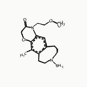 BN1CCc2cc3c(c(C)c2CC1)OCC(=O)N3CCOC